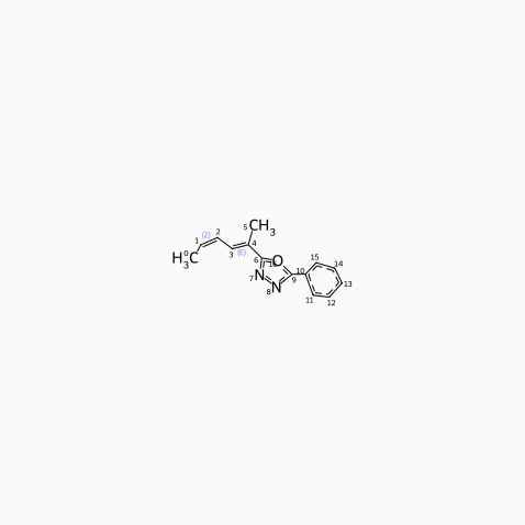 C/C=C\C=C(/C)c1nnc(-c2ccccc2)o1